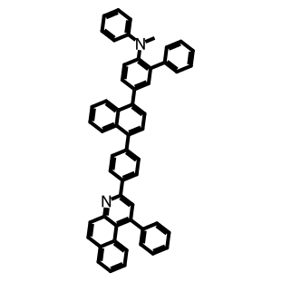 CN(c1ccccc1)c1ccc(-c2ccc(-c3ccc(-c4cc(-c5ccccc5)c5c(ccc6ccccc65)n4)cc3)c3ccccc23)cc1-c1ccccc1